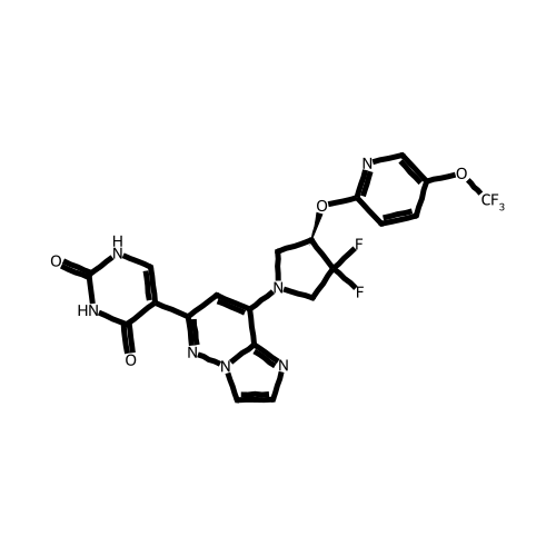 O=c1[nH]cc(-c2cc(N3C[C@@H](Oc4ccc(OC(F)(F)F)cn4)C(F)(F)C3)c3nccn3n2)c(=O)[nH]1